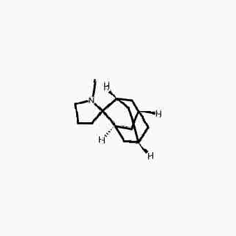 CN1CCCC12[C@H]1C[C@H]3C[C@H](C1)C[C@H]2C3